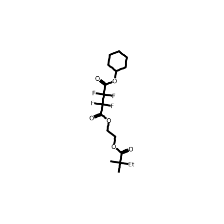 CCC(C)(C)C(=O)OCCOC(=O)C(F)(F)C(F)(F)C(=O)OC1CCCCC1